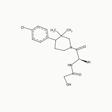 CC(C)[C@@H](NC(=O)CO)C(=O)N1CCC(c2ccc(Cl)cc2)C(C)(C)C1